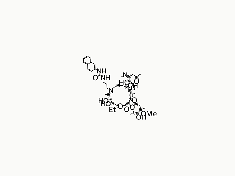 CC[C@H]1OC(=O)[C@H](C)[C@@H](O[C@H]2C[C@@](C)(OC)[C@@H](O)[C@H](C)O2)[C@H](C)[C@@H](O[C@@H]2O[C@H](C)C[C@H](N(C)C)[C@H]2O)[C@](C)(O)C[C@@H](C)CN(CCCNC(=O)Nc2ccc3ccccc3c2)[C@H](C)[C@@H](O)[C@]1(C)O